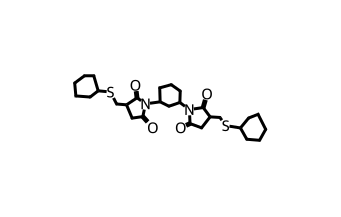 O=C1CC(CSC2CCCCC2)C(=O)N1C1CCCC(N2C(=O)CC(CSC3CCCCC3)C2=O)C1